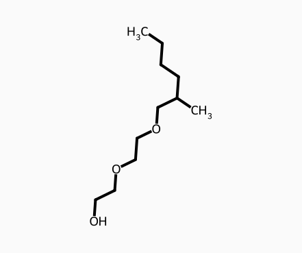 CCCCC(C)COCCOCCO